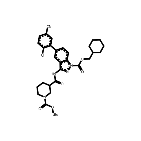 CC(C)(C)OC(=O)N1CCCC(C(=O)Nc2nn(C(=O)OCC3CCCCC3)c3ccc(-c4cc(C#N)ccc4Cl)cc23)C1